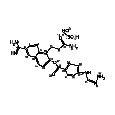 CS(=O)(=O)O.Cl.N=C(N)c1ccc2c(CCC(N)=O)c(OC(=O)c3ccc(N/C=N\N)cc3)ccc2c1